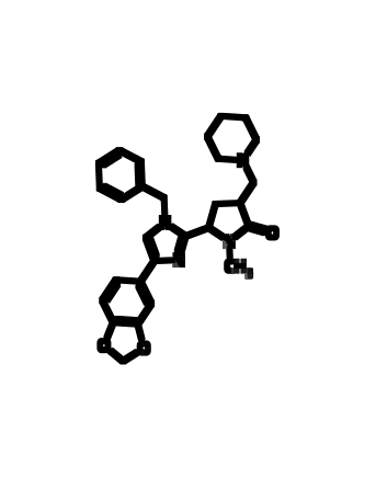 CN1C(=O)C(CN2CCCCC2)CC1c1nc(-c2ccc3c(c2)OCO3)cn1Cc1ccccc1